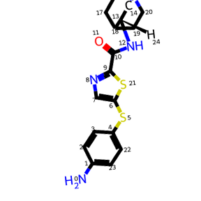 Nc1ccc(Sc2cnc(C(=O)N[C@H]3CN4CCC3CC4)s2)cc1